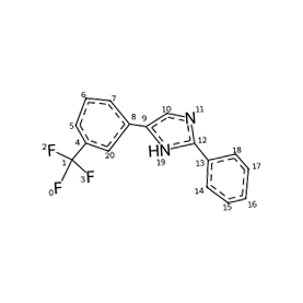 FC(F)(F)c1cccc(-c2cnc(-c3ccccc3)[nH]2)c1